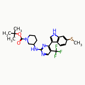 CSc1ccc2c(-c3nc(NC4CCCN(C(=O)OC(C)(C)C)C4)ncc3C(F)(F)F)c[nH]c2c1